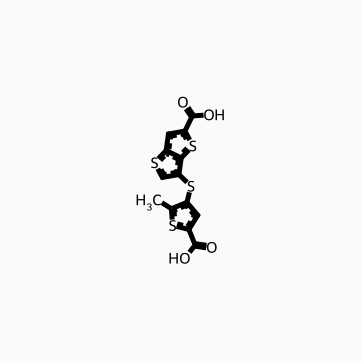 Cc1sc(C(=O)O)cc1Sc1csc2cc(C(=O)O)sc12